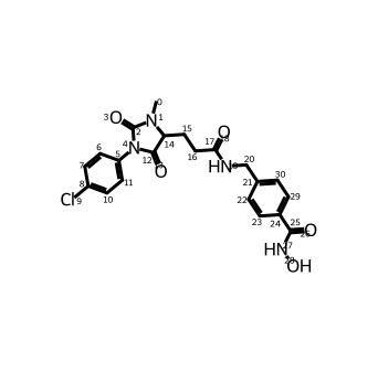 CN1C(=O)N(c2ccc(Cl)cc2)C(=O)C1CCC(=O)NCc1ccc(C(=O)NO)cc1